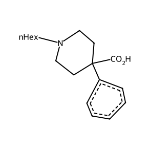 CCCCCCN1CCC(C(=O)O)(c2ccccc2)CC1